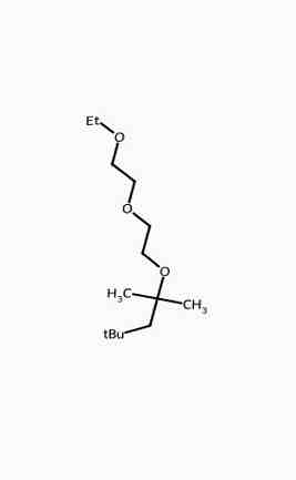 CCOCCOCCOC(C)(C)CC(C)(C)C